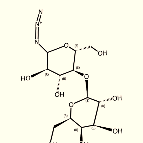 [N-]=[N+]=NC1O[C@H](CO)[C@@H](O[C@@H]2O[C@H](CO)[C@H](O)[C@H](O)[C@H]2O)[C@H](O)[C@H]1O